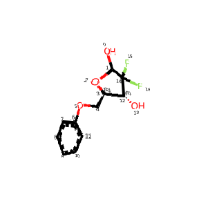 OC1O[C@H](COc2ccccc2)[C@@H](O)C1(F)F